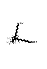 CCCCCCCCCCCCCCCCCC(=O)C(C)(C(=O)CCCCCCCCCCCCCCCCC)C(N)C(C)O